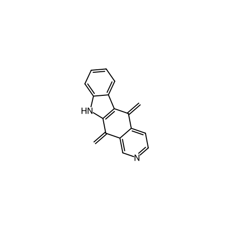 C=c1c2cnccc2c(=C)c2c1[nH]c1ccccc12